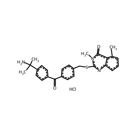 Cc1cccc2nc(SCc3ccc(C(=O)c4ccc(C(C)(C)N)cc4)cc3)n(C)c(=O)c12.Cl